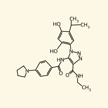 CCNC(=O)c1nnn(-c2cc(C(C)C)c(O)cc2O)c1NC(=O)c1ccc(N2CCCC2)cc1